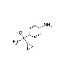 Nc1ccc(C(O)(C2CC2)C(F)(F)F)cc1